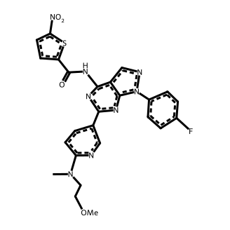 COCCN(C)c1ccc(-c2nc(NC(=O)c3ccc([N+](=O)[O-])s3)c3cnn(-c4ccc(F)cc4)c3n2)cn1